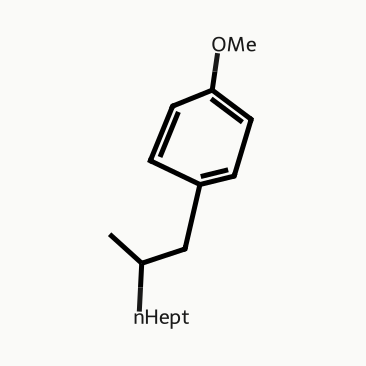 CCCCCCCC(C)Cc1ccc(OC)cc1